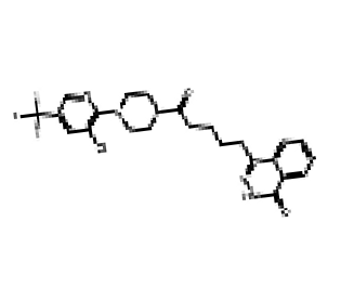 O=C(CCCCc1n[nH]c(=O)c2ccccc12)N1CCN(c2ncc(C(F)(F)F)cc2Cl)CC1